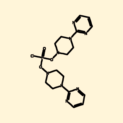 O=P(Cl)(ON1CCN(c2ncccn2)CC1)ON1CCN(c2ncccn2)CC1